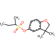 CCC(C)S(=O)(=O)Oc1ccc2c(c1)C(C)(C)CO2